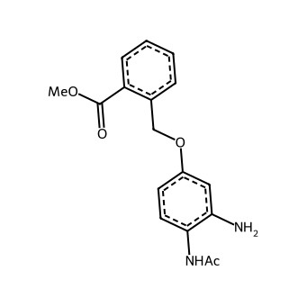 COC(=O)c1ccccc1COc1ccc(NC(C)=O)c(N)c1